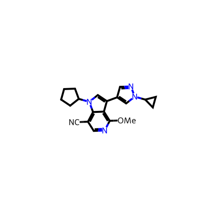 COc1ncc(C#N)c2c1c(-c1cnn(C3CC3)c1)cn2C1CCCC1